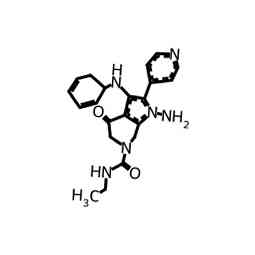 CCNC(=O)N1CC(=O)c2c(NC3C=CC=CC3)c(-c3ccncc3)n(N)c2C1